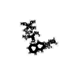 Cl.N.N.N.N.NC(N)=O.O=P(O)(O)O.c1ccc2ccccc2c1